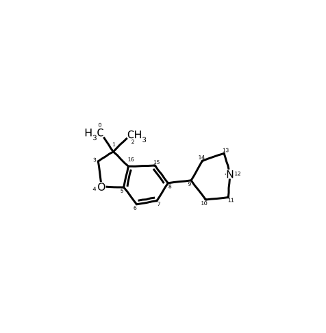 CC1(C)COc2ccc(C3CC[N]CC3)cc21